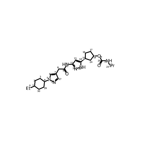 CCC1CCC(n2cc(CC(=O)Nc3cc([C@H]4CC[C@@H](OC(=O)NC(C)C)C4)[nH]n3)cn2)CC1